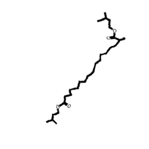 CC(C)CCOC(=O)CCCCCCCCCCCCCCC(C)C(=O)OCCC(C)C